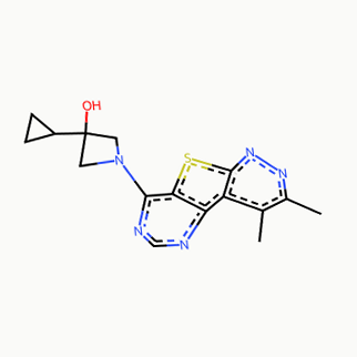 Cc1nnc2sc3c(N4CC(O)(C5CC5)C4)ncnc3c2c1C